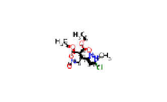 CCOC(=O)C(C(=O)OCC)[C@H](CN=O)c1cc(Cl)n(C)n1